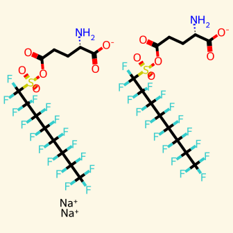 N[C@@H](CCC(=O)OS(=O)(=O)C(F)(F)C(F)(F)C(F)(F)C(F)(F)C(F)(F)C(F)(F)C(F)(F)C(F)(F)F)C(=O)[O-].N[C@@H](CCC(=O)OS(=O)(=O)C(F)(F)C(F)(F)C(F)(F)C(F)(F)C(F)(F)C(F)(F)C(F)(F)C(F)(F)F)C(=O)[O-].[Na+].[Na+]